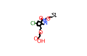 C[Si](C)(C)CCOCn1ncc2c(CCO/C=C/C(=O)O)cc(Cl)cc2c1=O